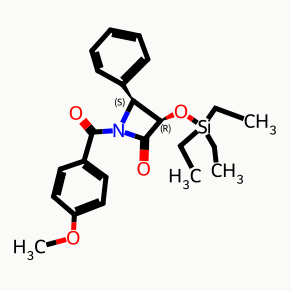 CC[Si](CC)(CC)O[C@H]1C(=O)N(C(=O)c2ccc(OC)cc2)[C@H]1c1ccccc1